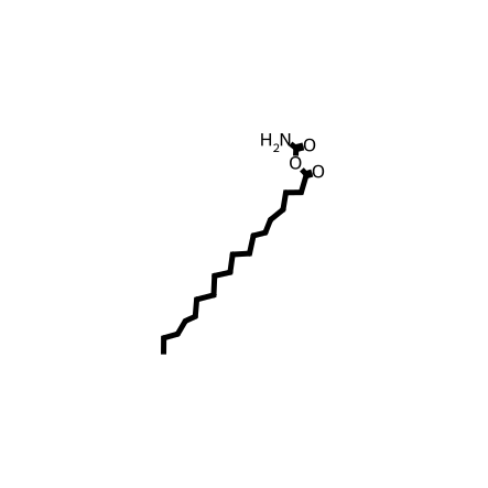 CCCCCCCCCCCCCCCCCC(=O)OC(N)=O